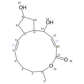 CC1CCC/C=C\C2CC(O)CC2C(O)/C=C\C(=O)O1